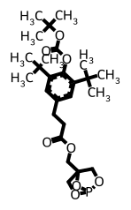 CC(C)(C)OC(=O)Oc1c(C(C)(C)C)cc(CCC(=O)OCC23COP(OC2)O3)cc1C(C)(C)C